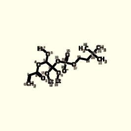 C=CC(=O)OC(OCC)C(OCC)(OCC)OP(=O)([O-])OCC[N+](C)(C)C